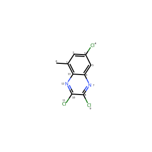 Cc1cc(Cl)cc2nc(Cl)c(Cl)nc12